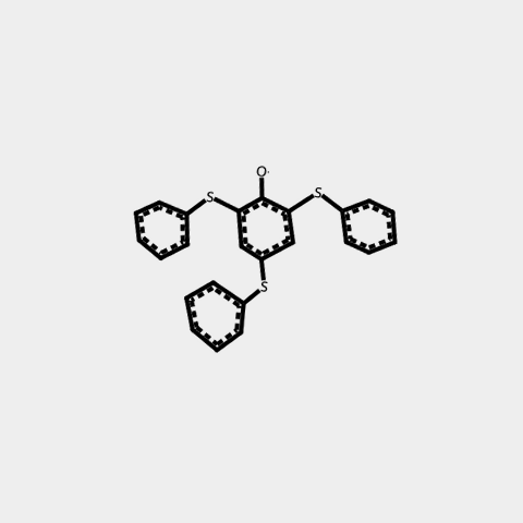 [O]c1c(Sc2ccccc2)cc(Sc2ccccc2)cc1Sc1ccccc1